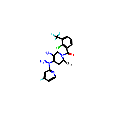 CC1CC(N(N)c2cc(F)ccn2)=C(N)CN1C(=O)c1cccc(C(F)(F)F)c1Cl